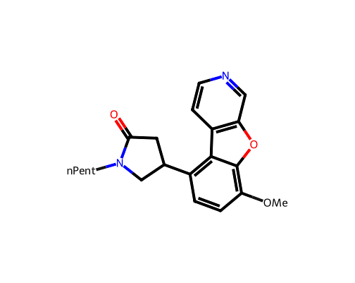 CCCCCN1CC(c2ccc(OC)c3oc4cnccc4c23)CC1=O